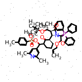 C=CCOC(=O)C(N1C(=O)[C@H]([C@@H](C)O[Si](C)(C)C(C)(C)C)[C@H]1[C@H]1CCCC(C(OS(=O)(=O)c2ccc(C)cc2)c2cc(C)nc(C)c2)C1=O)=P(c1ccccc1)(c1ccccc1)c1ccccc1